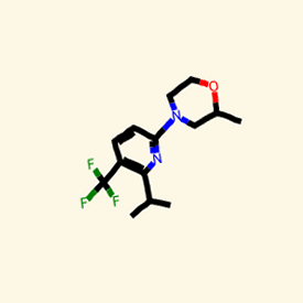 CC1CN(c2ccc(C(F)(F)F)c(C(C)C)n2)CCO1